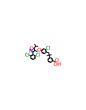 CC(C)c1onc(-c2c(Cl)cccc2Cl)c1COc1ccc(CC(C)(C)c2cccc(C(=O)O)c2)c(Cl)c1